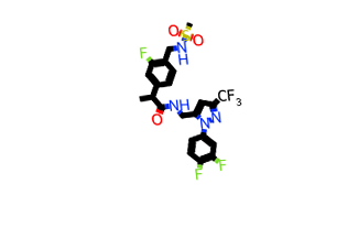 CC(C(=O)NCc1cc(C(F)(F)F)nn1-c1ccc(F)c(F)c1)c1ccc(CNS(C)(=O)=O)c(F)c1